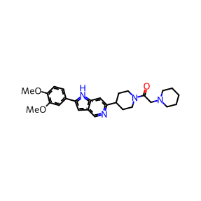 COc1ccc(-c2cc3cnc(C4CCN(C(=O)CN5CCCCC5)CC4)cc3[nH]2)cc1OC